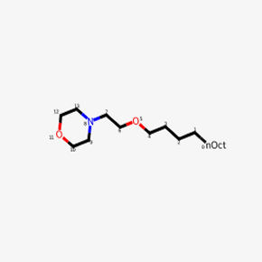 CCCCCCCCCCCCOCCN1CCOCC1